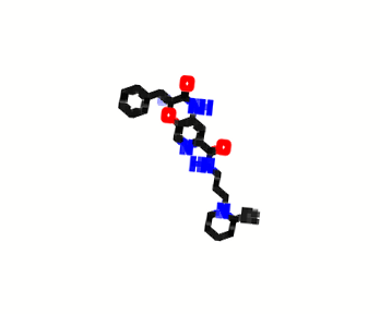 CCC1CCCCN1CCCNC(=O)c1cc2c(cn1)O/C(=C\c1ccccc1)C(=O)N2